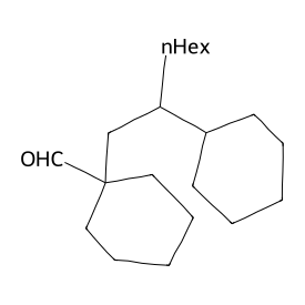 CCCCCCC(CC1(C=O)CCCCC1)C1CCCCC1